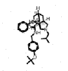 CC(C)CN1C[C@@H]2C[C@H]3CN[C@]2(C(=O)NCc2ccc(OC(C)(C)C)cc2)C1[C@@H]3Cc1ccccc1